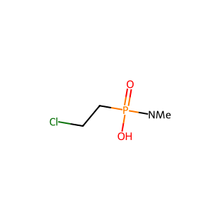 CNP(=O)(O)CCCl